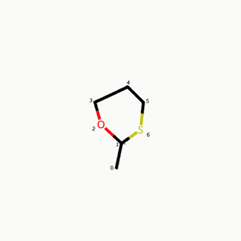 C[C]1OCCCS1